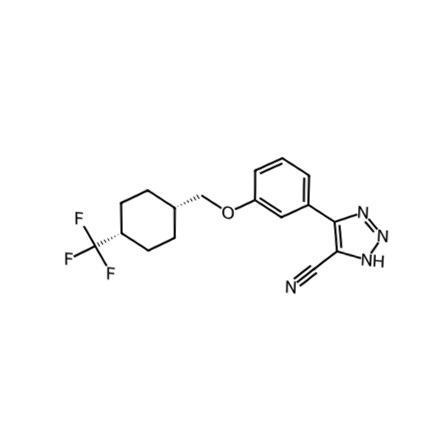 N#Cc1[nH]nnc1-c1cccc(OC[C@H]2CC[C@@H](C(F)(F)F)CC2)c1